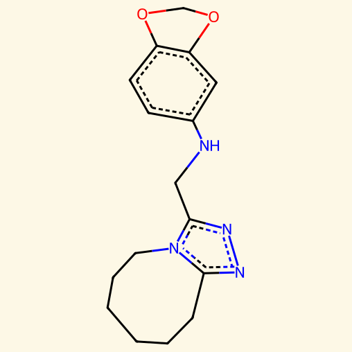 c1cc2c(cc1NCc1nnc3n1CCCCCC3)OCO2